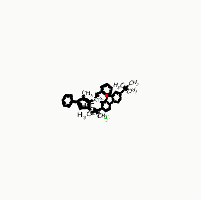 CC1=[C](/[Zr+2](=[CH]/c2ccccc2)[c]2c(C(C)(C)C)ccc3c2Cc2cc(C(C)(C)C)ccc2-3)C(C)C=C1c1ccccc1.[Cl-].[Cl-]